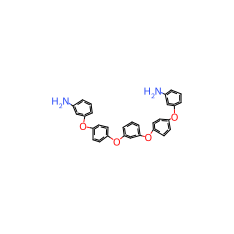 Nc1cccc(Oc2ccc(Oc3cccc(Oc4ccc(Oc5cccc(N)c5)cc4)c3)cc2)c1